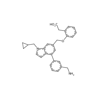 NCc1cccc(-c2cc(COc3ccccc3CC(=O)O)cc3c2ccn3CC2CC2)c1